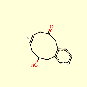 O=C1C/C=C\CC(O)Cc2ccccc2C1